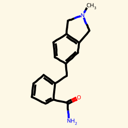 CN1Cc2ccc(Cc3ccccc3C(N)=O)cc2C1